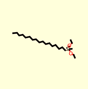 CCCCCCCCCCCCCCCCC[Si](C)(OCC)OCC